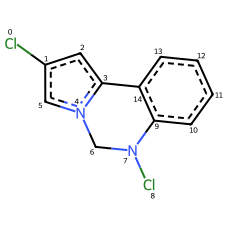 Clc1cc2n(c1)CN(Cl)c1ccccc1-2